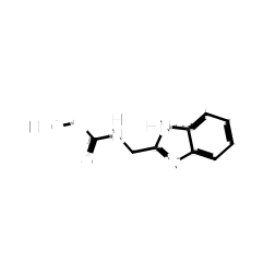 COC(=O)NCc1nc2ccccc2[nH]1